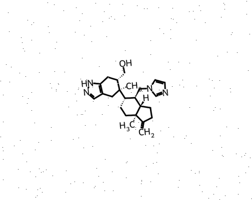 C=C1CC[C@H]2[C@H](Cn3ccnc3)[C@@H]([C@@]3(C)Cc4cn[nH]c4C[C@@H]3CO)CC[C@]12C